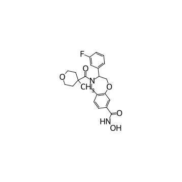 CC1(C(=O)N2Cc3ccc(C(=O)NO)cc3OCC2c2cccc(F)c2)CCOCC1